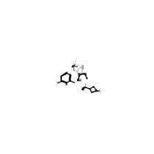 CCS(=O)(=O)N[C@@H]1[C@H](Cc2cccc(Cl)c2F)N(C(=O)C2CC(F)C2)CC1(F)F